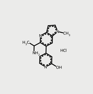 CC(N)c1nc2ccn(C)c2cc1-c1ccnc(O)c1.Cl